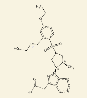 CCOc1ccc(S(=O)(=O)N2C[C@@H](C)[C@@H](n3nc(CC(=O)O)c4ccccc43)C2)c(/C=C/CO)c1